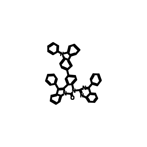 O=c1n(-c2nc(-c3ccccc3)c3ccccc3n2)c2ccc(-c3ccc4c(c3)c3ccccc3n4-c3ccccc3)cc2c2c(-c3ccccc3)c3ccccc3n12